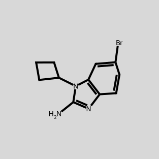 Nc1nc2ccc(Br)cc2n1C1CCC1